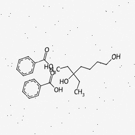 CCC(O)(CC)CCCCO.O=C(O)c1ccccc1.O=C(O)c1ccccc1